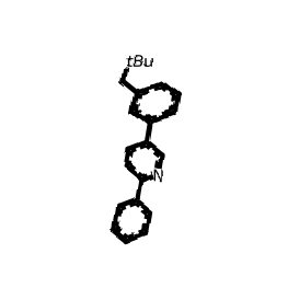 CC(C)(C)Cc1cccc(-c2ccc(-c3ccccc3)nc2)c1